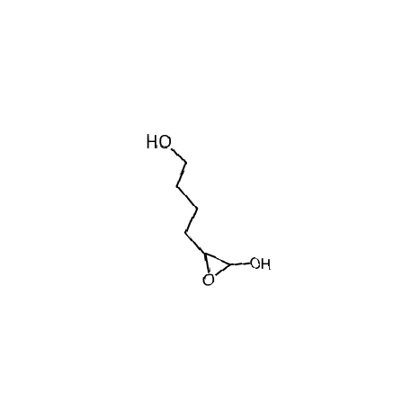 OCCCCC1OC1O